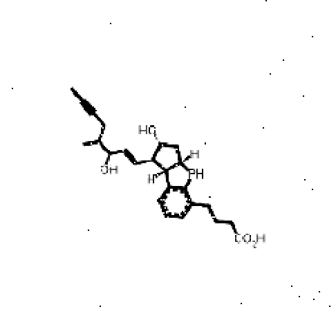 CC#CCC(C)[C@H](O)/C=C/[C@@H]1[C@H]2c3cccc(CCCC(=O)O)c3P[C@H]2C[C@H]1O